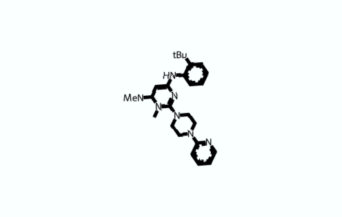 CNC1C=C(Nc2ccccc2C(C)(C)C)N=C(N2CCN(c3ccccn3)CC2)N1C